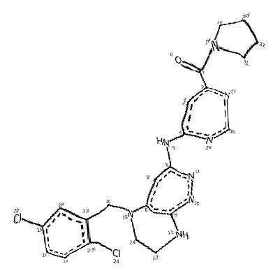 O=C(c1cc(Nc2cc3c(nn2)NCCN3Cc2cc(Cl)ccc2Cl)ncn1)N1CCCC1